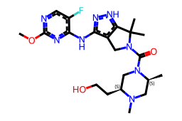 COc1ncc(F)c(Nc2n[nH]c3c2CN(C(=O)N2C[C@H](CCO)N(C)C[C@@H]2C)C3(C)C)n1